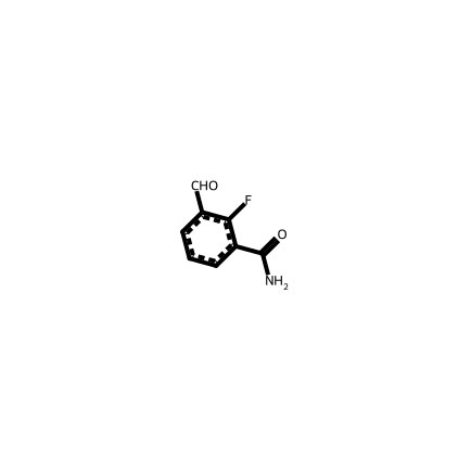 NC(=O)c1cccc(C=O)c1F